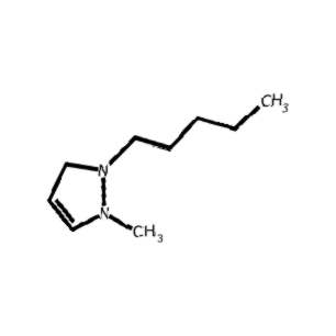 CCCCCN1CC=CN1C